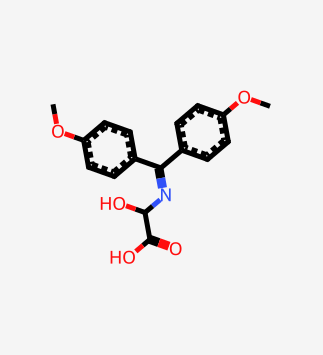 COc1ccc(C(=NC(O)C(=O)O)c2ccc(OC)cc2)cc1